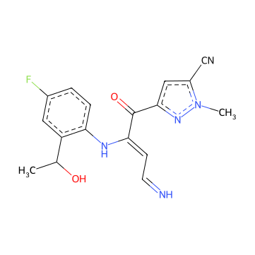 CC(O)c1cc(F)ccc1N/C(=C\C=N)C(=O)c1cc(C#N)n(C)n1